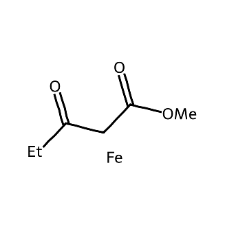 CCC(=O)CC(=O)OC.[Fe]